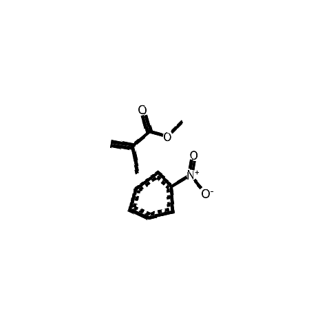 C=C(C)C(=O)OC.O=[N+]([O-])c1ccccc1